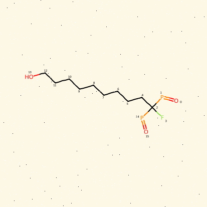 O=PC(F)(CCCCCCCCCO)P=O